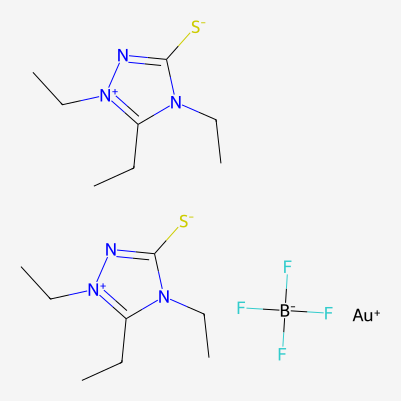 CCc1n(CC)c([S-])n[n+]1CC.CCc1n(CC)c([S-])n[n+]1CC.F[B-](F)(F)F.[Au+]